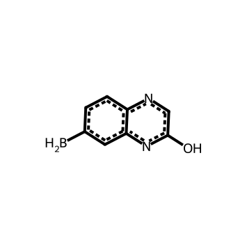 Bc1ccc2ncc(O)nc2c1